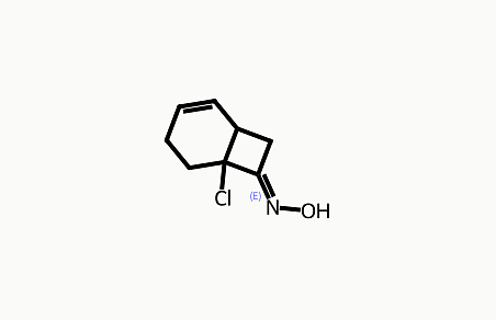 O/N=C1\CC2C=CCCC12Cl